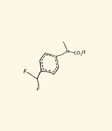 CN(C(=O)O)c1ccc(C(F)F)cc1